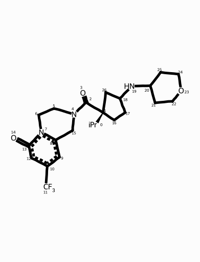 CC(C)[C@]1(C(=O)N2CCn3c(cc(C(F)(F)F)cc3=O)C2)CCC(NC2CCOCC2)C1